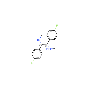 CN[C@@H](c1ccc(F)cc1)[C@@H](NC)c1ccc(F)cc1